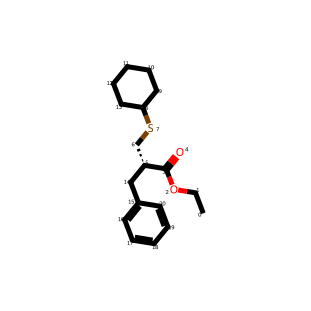 CCOC(=O)[C@@H](CSC1CCCCC1)Cc1ccccc1